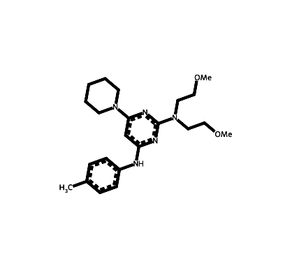 COCCN(CCOC)c1nc(Nc2ccc(C)cc2)cc(N2CCCCC2)n1